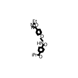 CCc1nnc(-c2ccc(OCCNC(=O)c3ccc(C(=O)C(C)C)cc3)cc2)o1